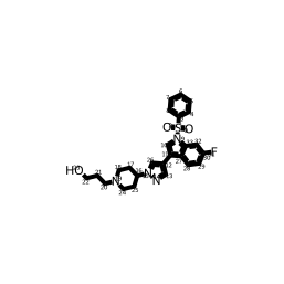 O=S(=O)(c1ccccc1)n1cc(-c2cnn(C3CCN(CCCO)CC3)c2)c2ccc(F)cc21